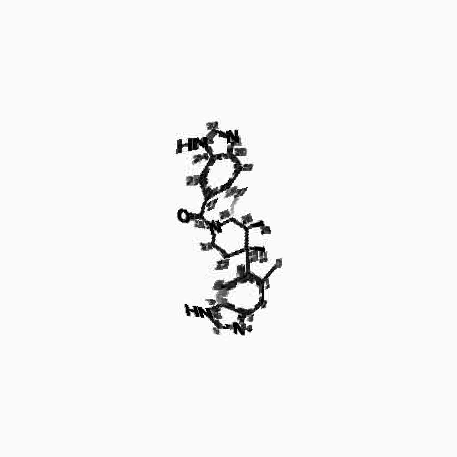 Cc1cc2nc[nH]c2cc1[C@]1(C)CCN(C(=O)c2ccc3nc[nH]c3c2)[C@H](C)[C@H]1C